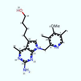 COc1c(C)cnc(Cn2cc(CCCCO)c3c(C)nc(N)nc32)c1C